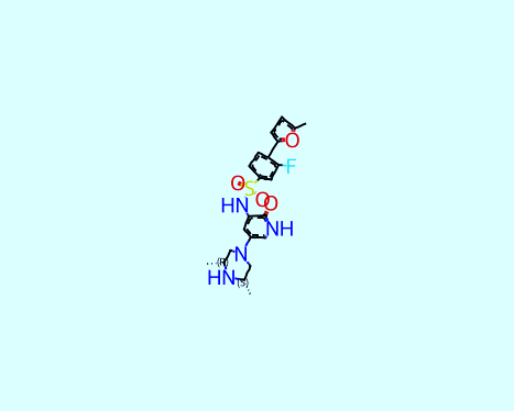 Cc1ccc(-c2ccc(S(=O)(=O)Nc3cc(N4C[C@@H](C)N[C@@H](C)C4)c[nH]c3=O)cc2F)o1